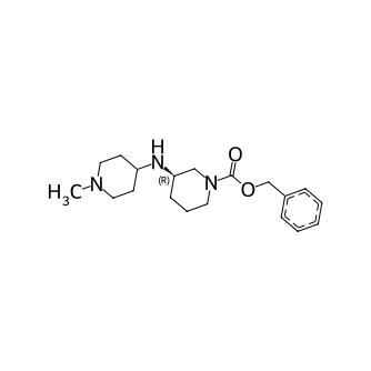 CN1CCC(N[C@@H]2CCCN(C(=O)OCc3ccccc3)C2)CC1